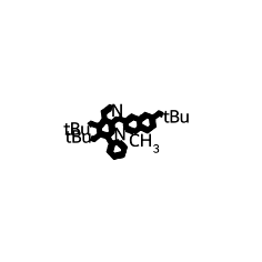 Cc1c2ccc(CC(C)(C)C)cc2cc2c3nccc4c(CC(C)(C)C)c(CC(C)(C)C)c5c6ccccc6n(c12)c5c43